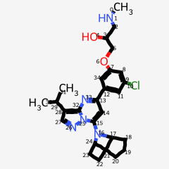 CNCC(O)COc1cc(Cl)cc(-c2cc(N3C4CCCC45CCC35)n3ncc(C(C)C)c3n2)c1